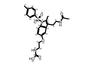 CC(=O)NCCc1c(C)n(S(=O)(=O)c2ccc(C)cc2)c2ccc(OCCNC(=O)O)cc12